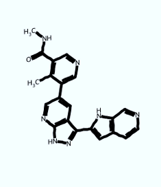 CNC(=O)c1cncc(-c2cnc3[nH]nc(-c4cc5ccncc5[nH]4)c3c2)c1C